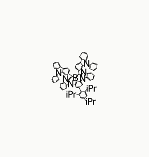 CC(C)c1cc(C(C)C)c(-c2cc3c4c(c2)-n2c5ccccc5n5c6c(ccc7c8ccccc8n(-c8ccccc8)c76)c(c25)B4c2c4ccc5c6ccccc6n(-c6ccccc6)c5c4n4c5ccccc5n-3c24)c(C(C)C)c1